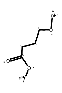 CCCOCCCC(=O)OCCC